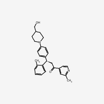 Cc1cc(C(=O)C[C@H](c2ccc(N3CCC(CO)CC3)cc2)c2ccccc2C)ccn1